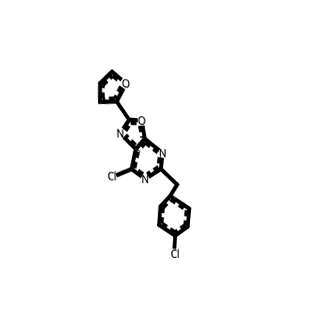 Clc1ccc(Cc2nc(Cl)c3nc(-c4ccco4)oc3n2)cc1